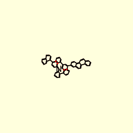 c1ccc(-c2ccccc2N(c2ccc(-c3cccc4ccccc34)cc2)c2ccc(-c3ccc4c(ccc5c6ccccc6ccc45)c3)cc2-c2ccccc2)cc1